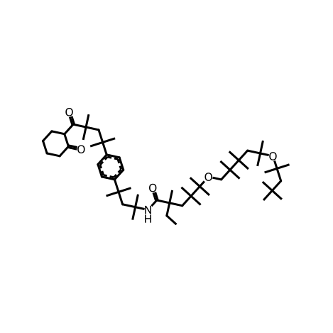 CCC(C)(CC(C)(C)C(C)(C)OCC(C)(C)C(C)(C)CC(C)(C)OC(C)(C)CC(C)(C)C)C(=O)NC(C)(C)CC(C)(C)c1ccc(C(C)(C)CC(C)(C)C(=O)C2CCCCC2=O)cc1